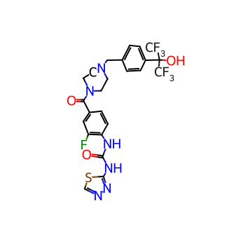 O=C(Nc1nncs1)Nc1ccc(C(=O)N2CCN(Cc3ccc(C(O)(C(F)(F)F)C(F)(F)F)cc3)CC2)cc1F